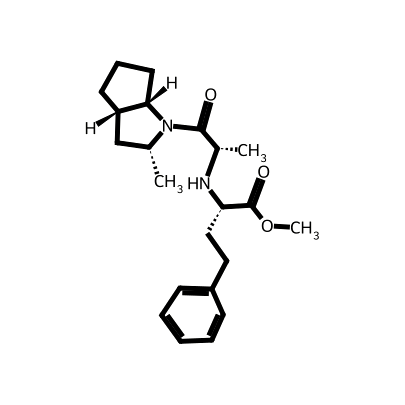 COC(=O)[C@H](CCc1ccccc1)N[C@@H](C)C(=O)N1[C@H](C)C[C@@H]2CCC[C@@H]21